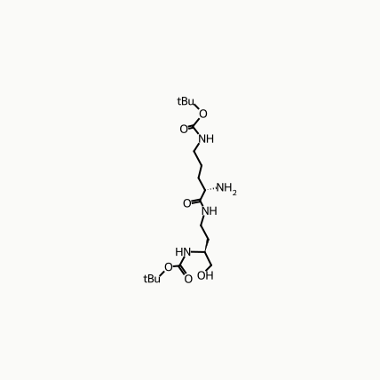 CC(C)(C)OC(=O)NCCC[C@H](N)C(=O)NCC[C@@H](CO)NC(=O)OC(C)(C)C